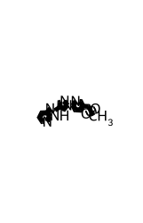 CS(=O)(=O)Cc1ccc(-n2cc(-c3nc4cccnc4[nH]3)cn2)nc1